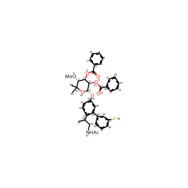 CO[C@@H]1[C@@H](OC(=O)c2ccccc2)[C@@H](OC(=O)c2ccccc2)[C@H](Oc2ccc(C(C)CNC(C)=O)c(-c3cccc(F)c3)c2)OC1(C)C